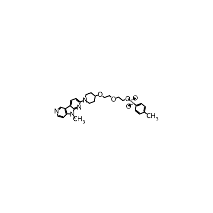 Cc1ccc(S(=O)(=O)OCCOCCOC2CCN(c3ccc4c5cnccc5n(C)c4n3)CC2)cc1